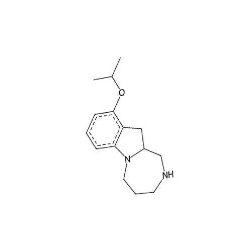 CC(C)Oc1cccc2c1CC1CNCCCN21